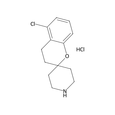 Cl.Clc1cccc2c1CCC1(CCNCC1)O2